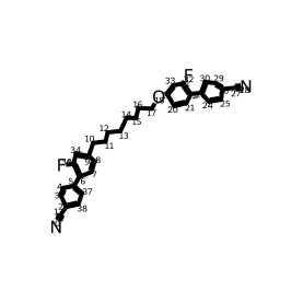 N#Cc1ccc(-c2ccc(CCCCCCCCOc3ccc(-c4ccc(C#N)cc4)c(F)c3)cc2F)cc1